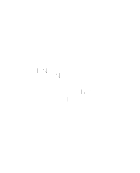 CN(C)CCC[N+]1=CNCC1